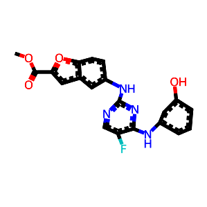 COC(=O)c1cc2cc(Nc3ncc(F)c(Nc4cccc(O)c4)n3)ccc2o1